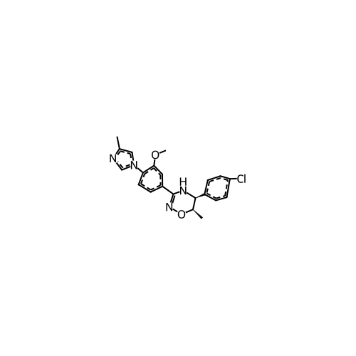 COc1cc(C2=NO[C@H](C)[C@H](c3ccc(Cl)cc3)N2)ccc1-n1cnc(C)c1